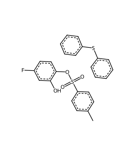 Cc1ccc(S(=O)(=O)Oc2ccc(F)cc2O)cc1.c1ccc(Sc2ccccc2)cc1